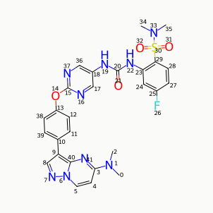 CN(C)c1ccn2ncc(-c3ccc(Oc4ncc(NC(=O)Nc5cc(F)ccc5S(=O)(=O)N(C)C)cn4)cc3)c2n1